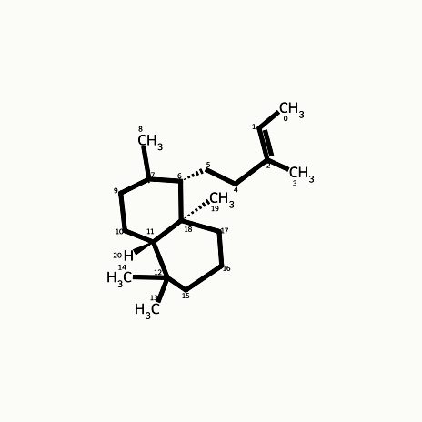 CC=C(C)CC[C@H]1[C](C)CC[C@H]2C(C)(C)CCC[C@]12C